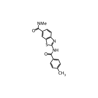 CNC(=O)c1ccc2nc(NC(=O)c3ccc(C)cc3)sc2c1